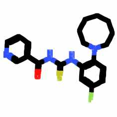 O=C(NC(=S)Nc1cc(F)ccc1N1CCCCCCC1)c1cccnc1